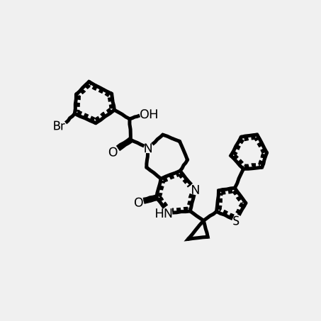 O=C(C(O)c1cccc(Br)c1)N1CCCc2nc(C3(c4cc(-c5ccccc5)cs4)CC3)[nH]c(=O)c2C1